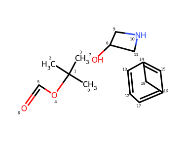 CC(C)(C)OC=O.OC1CNC1.c1cc2cc(c1)C2